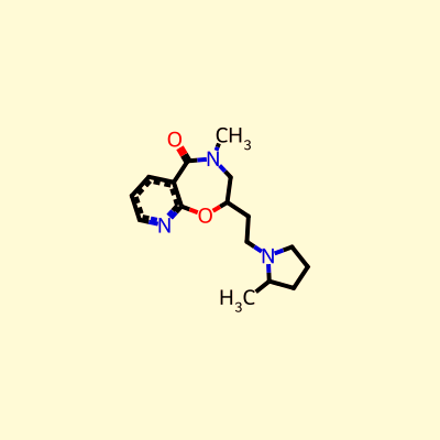 CC1CCCN1CCC1CN(C)C(=O)c2cccnc2O1